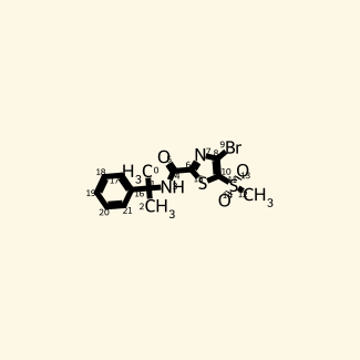 CC(C)(NC(=O)c1nc(Br)c(S(C)(=O)=O)s1)c1ccccc1